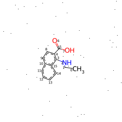 CCNc1c(C(=O)O)ccc2ccccc12